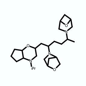 CC(CCC(CC1CN(C(C)C)C2CCCC2O1)N1CC2CC1CO2)N1CC2CC(C1)O2